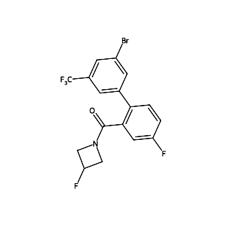 O=C(c1cc(F)ccc1-c1cc(Br)cc(C(F)(F)F)c1)N1CC(F)C1